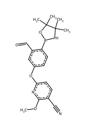 COc1nc(Oc2ccc(B3OC(C)(C)C(C)(C)P3)c(C=O)c2)ccc1C#N